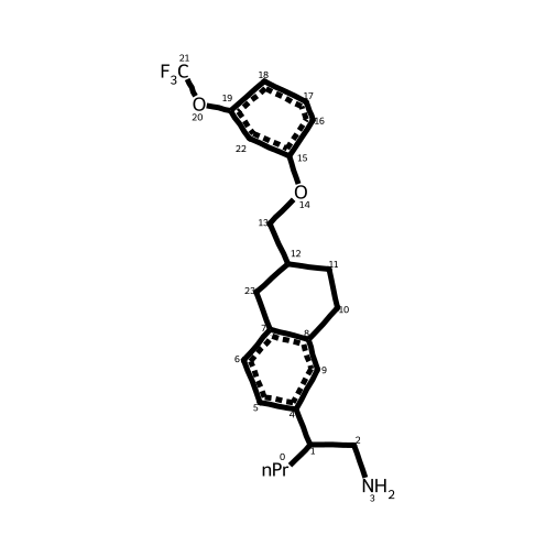 CCCC(CN)c1ccc2c(c1)CCC(COc1cccc(OC(F)(F)F)c1)C2